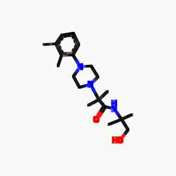 Cc1cccc(N2CCN(C(C)(C)C(=O)NC(C)(C)CO)CC2)c1C